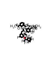 COC(=O)c1cccc2c(=O)n(-c3ccc(Cl)c4c(NS(C)(=O)=O)nn(C)c34)c(C(Cc3cc(F)cc(F)c3)NC(=O)Cn3nc(C(F)F)c4c3C(F)(F)[C@@H]3C[C@H]43)nc12